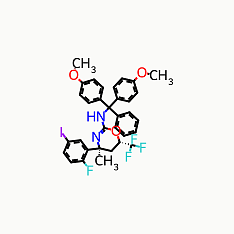 COc1ccc(C(NC2=N[C@](C)(c3cc(I)ccc3F)C[C@@H](C(F)(F)F)O2)(c2ccccc2)c2ccc(OC)cc2)cc1